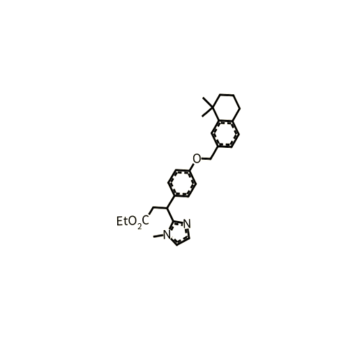 CCOC(=O)CC(c1ccc(OCc2ccc3c(c2)C(C)(C)CCC3)cc1)c1nccn1C